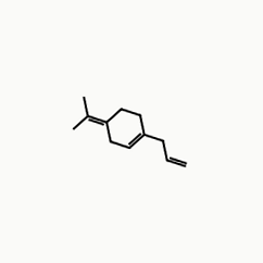 C=CCC1=CCC(=C(C)C)CC1